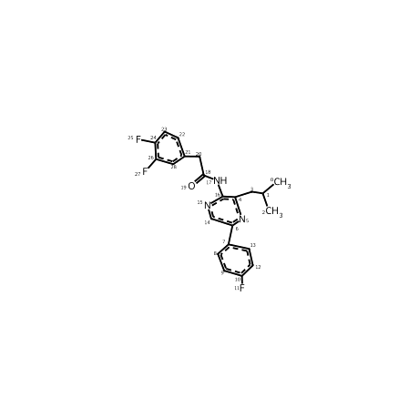 CC(C)Cc1nc(-c2ccc(F)cc2)cnc1NC(=O)Cc1ccc(F)c(F)c1